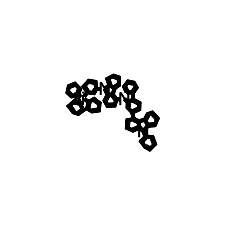 c1ccc(-n2c3ccccc3c3c(-c4ccc5c6ccccc6n(-c6cccc7c6c6ccccc6n7-c6cccc([Si](c7ccccc7)(c7ccccc7)c7ccccc7)c6)c5c4)cccc32)cc1